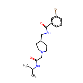 CC(C)NC(=O)CN1CCC(CNC(=O)c2cccc(Br)c2)CC1